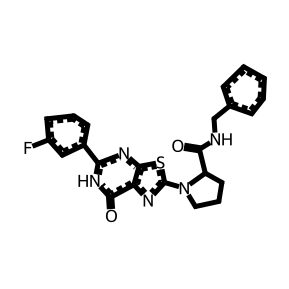 O=C(NCc1ccccc1)C1CCCN1c1nc2c(=O)[nH]c(-c3cccc(F)c3)nc2s1